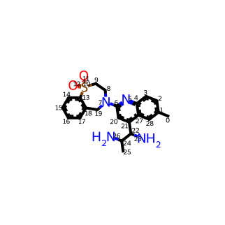 Cc1ccc2nc(N3CCS(=O)(=O)c4ccccc4C3)cc(C(N)C(C)N)c2c1